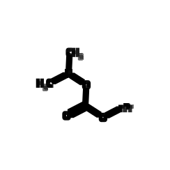 CCCOC(=O)ON(C)C